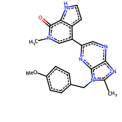 COc1ccc(Cn2c(C)nc3ncc(-c4cn(C)c(=O)c5[nH]ccc45)nc32)cc1